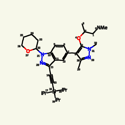 CNCC(C)Oc1c(-c2ccc3c(c2)c(C#C[Si](C(C)C)(C(C)C)C(C)C)nn3C2CCCCO2)c(C)nn1C